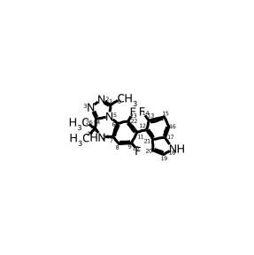 Cc1nnc2n1-c1c(cc(F)c(-c3c(F)ccc4[nH]ccc34)c1F)NC2(C)C